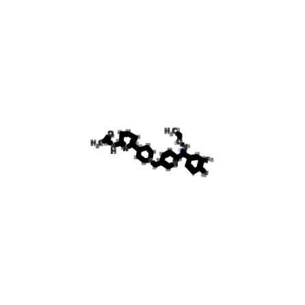 CCO/N=C(/c1ccc(F)c(F)c1)c1ccc(CN2CCC(c3cccc(NC(C)=O)n3)CC2)cn1